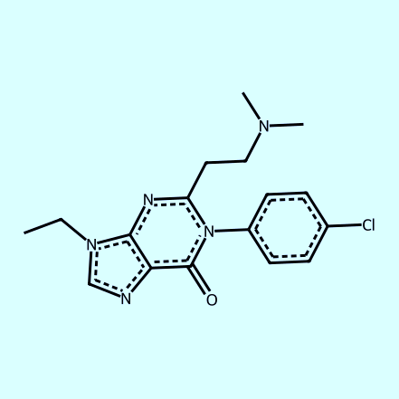 CCn1cnc2c(=O)n(-c3ccc(Cl)cc3)c(CCN(C)C)nc21